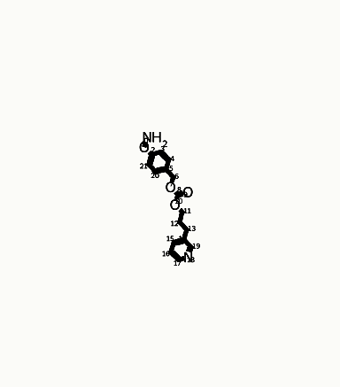 NOc1ccc(COC(=O)OCCCc2cccnc2)cc1